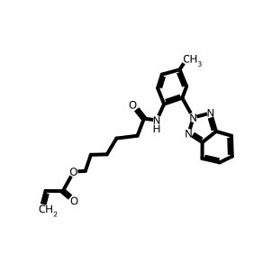 C=CC(=O)OCCCCCC(=O)Nc1ccc(C)cc1-n1nc2ccccc2n1